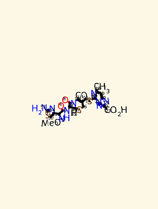 CON=C(C(=O)N[C@@H]1C(=O)N2C(C(=O)O)=C(CSc3nc(C)cc4nc(C(=O)O)nn34)CS[C@H]12)c1csc(N)n1